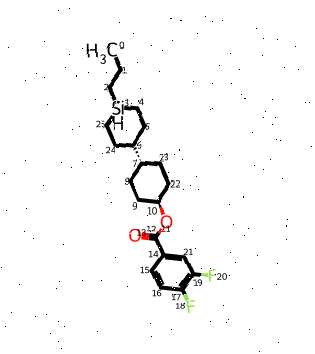 CCC[SiH]1CCC([C@H]2CC[C@H](OC(=O)c3ccc(F)c(F)c3)CC2)CC1